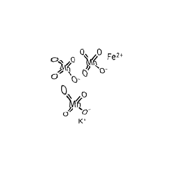 [Fe+2].[K+].[O]=[Mn](=[O])(=[O])[O-].[O]=[Mn](=[O])(=[O])[O-].[O]=[Mn](=[O])(=[O])[O-]